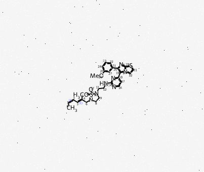 C/C=C\C=C(/C)CN1CCN(CCNc2nccc(-c3c(-c4cccc(OC)c4)nc4sccn34)n2)S1(=O)=O